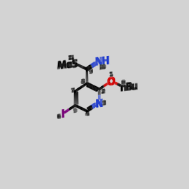 CCCCOc1ncc(I)cc1C(=N)SC